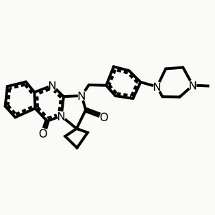 CN1CCN(c2ccc(CN3C(=O)C4(CCC4)n4c3nc3ccccc3c4=O)cc2)CC1